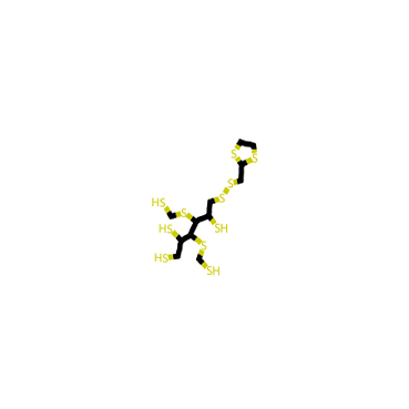 SCSC(C(S)CS)C(SCS)C(S)CSSCC1SCCS1